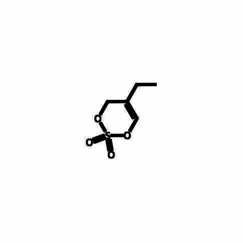 CCC1=COS(=O)(=O)OC1